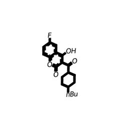 CCCCC1CCC(C(=O)c2c(O)c3cc(F)ccc3oc2=O)CC1